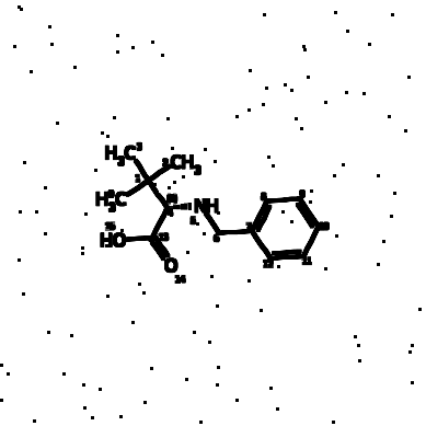 CC(C)(C)[C@H](NCc1ccccc1)C(=O)O